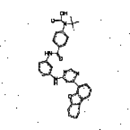 CC(C)(C)N(C(=O)O)c1ccc(C(=O)Nc2cccc(Nc3cc(-c4cccc5c4oc4ccccc45)ncn3)c2)cc1